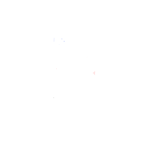 CC(C)(C)C(CO)OC(N)=O